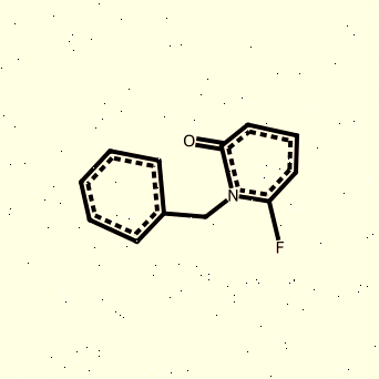 O=c1cccc(F)n1Cc1ccccc1